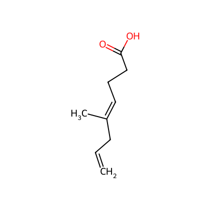 C=CC/C(C)=C/CCC(=O)O